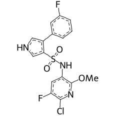 COc1nc(Cl)c(F)cc1NS(=O)(=O)c1c[nH]cc1-c1cccc(F)c1